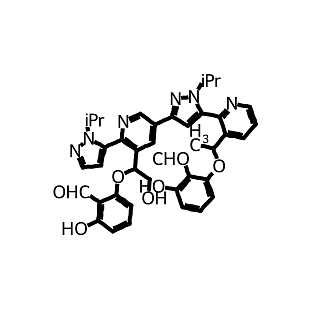 CC(Oc1cccc(O)c1C=O)c1cccnc1-c1cc(-c2cnc(-c3ccnn3C(C)C)c(C(CO)Oc3cccc(O)c3C=O)c2)nn1C(C)C